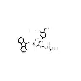 NC(=O)NCCCC(NC(=O)OCC1c2ccccc2-c2ccccc21)C(=O)Nc1ccc(CO)c(S(=O)(=O)O)c1